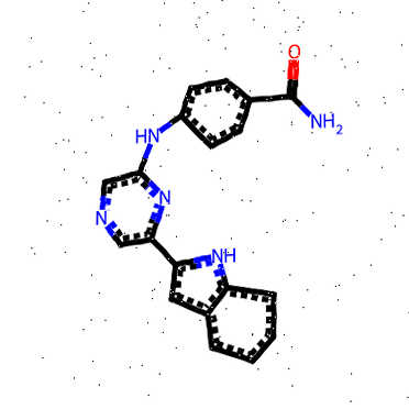 NC(=O)c1ccc(Nc2cncc(-c3cc4ccccc4[nH]3)n2)cc1